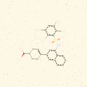 Cc1cc(C)c(C)c(S(=O)(=O)Nc2cc(C3=CCC(C(=O)O)CC3)cc3ccccc23)c1C